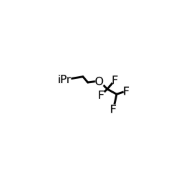 CC(C)CCOC(F)(F)C(F)F